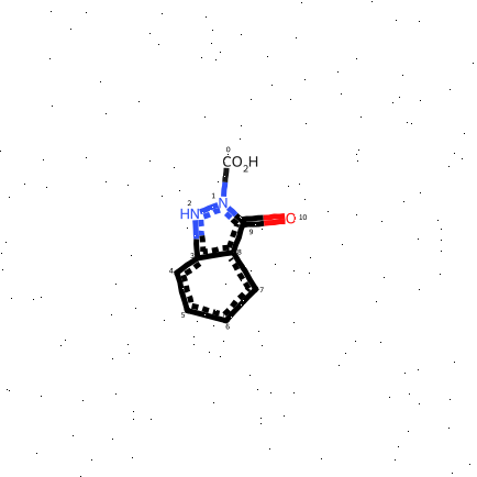 O=C(O)n1[nH]c2ccccc2c1=O